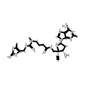 C#C[C@]1(COC(=O)CCCN(C)C(=O)OCc2oc(=O)oc2C)O[C@@H](n2cnc3c(N)nc(C)nc32)C[C@@H]1O